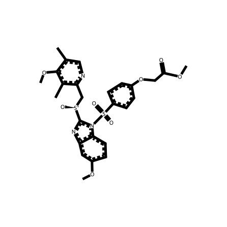 COC(=O)COc1ccc(S(=O)(=O)n2c([S@@+]([O-])Cc3ncc(C)c(OC)c3C)nc3cc(OC)ccc32)cc1